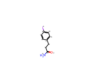 NC(=O)[CH]Cc1ccc(I)cc1